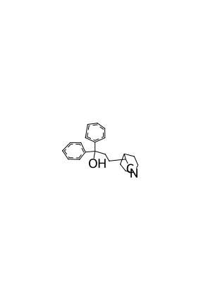 OC(CCC1CN2CCC1CC2)(c1ccccc1)c1ccccc1